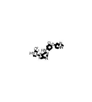 FC(F)(F)[C@@H]1CN(c2ncc3ncnc(Nc4ccc(Oc5ccn6ncnc6c5)c(Cl)c4)c3n2)CCN1